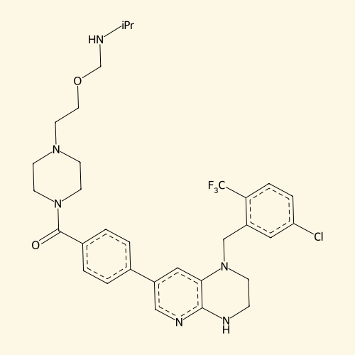 CC(C)NCOCCN1CCN(C(=O)c2ccc(-c3cnc4c(c3)N(Cc3cc(Cl)ccc3C(F)(F)F)CCN4)cc2)CC1